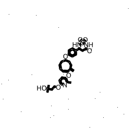 C=C1CC[C@@H](Oc2ccc(C3CC(=O)NS(=O)(=O)N3)cc2)C/C=C\C=C/1Oc1ccc(OCCC(C)(C)O)nc1C